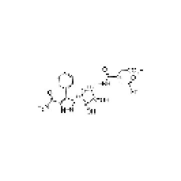 CCC(=O)C[C@@H](CC(=O)O)C(=O)NC[C@H]1O[C@@H](n2nnc(C(N)=O)c2-c2ccccc2)[C@H](O)[C@@H]1O